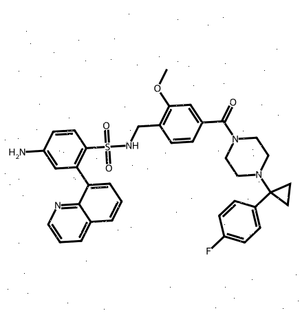 COc1cc(C(=O)N2CCN(C3(c4ccc(F)cc4)CC3)CC2)ccc1CNS(=O)(=O)c1ccc(N)cc1-c1cccc2cccnc12